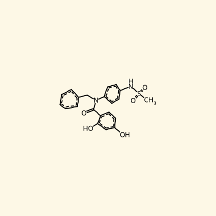 CS(=O)(=O)Nc1ccc(N(Cc2ccccc2)C(=O)c2ccc(O)cc2O)cc1